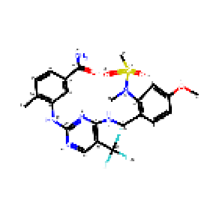 COc1ccc(CNc2nc(Nc3cc(C(N)=O)ccc3C)ncc2C(F)(F)F)c(N(C)S(C)(=O)=O)c1